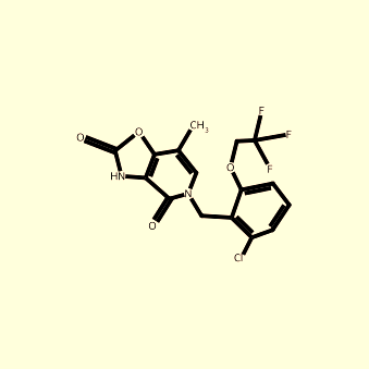 Cc1cn(Cc2c(Cl)cccc2OCC(F)(F)F)c(=O)c2[nH]c(=O)oc12